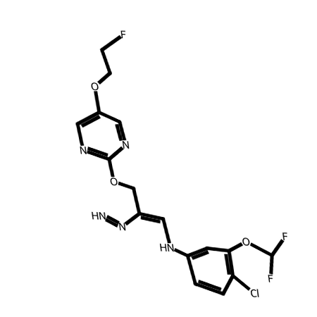 N=N/C(=C\Nc1ccc(Cl)c(OC(F)F)c1)COc1ncc(OCCF)cn1